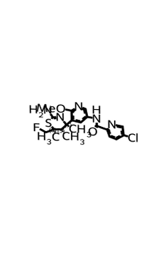 COc1ncc(NC(=O)c2ccc(Cl)cn2)cc1[C@@]1(C)N=C(N)S[C@](C)(CF)[C@H]1C